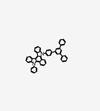 c1ccc(-c2cc(-c3ccccc3)cc(-c3ccc(-n4c5ccccc5c5c6c7ccccc7n(-c7ccccc7)c6c6ccccc6c54)cc3)c2)cc1